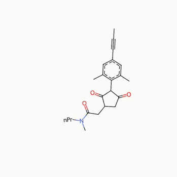 CC#Cc1cc(C)c(C2C(=O)CC(CC(=O)N(C)CCC)C2=O)c(C)c1